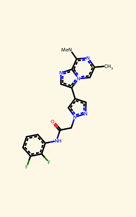 CNc1nc(C)cn2c(-c3cnn(CC(=O)Nc4cccc(F)c4F)c3)cnc12